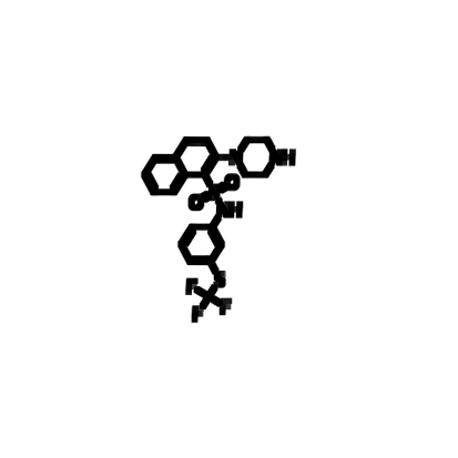 O=S(=O)(Nc1cccc(SC(F)(F)F)c1)c1c(N2CCNCC2)ccc2ccccc12